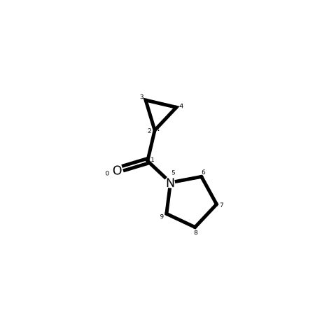 O=C([C]1CC1)N1CCCC1